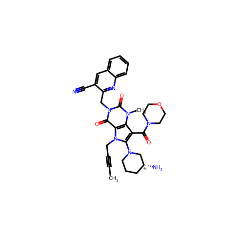 CC#CCn1c(N2CCC[C@@H](N)C2)c(C(=O)N2CCOCC2)c2c1c(=O)n(Cc1nc3ccccc3cc1C#N)c(=O)n2C